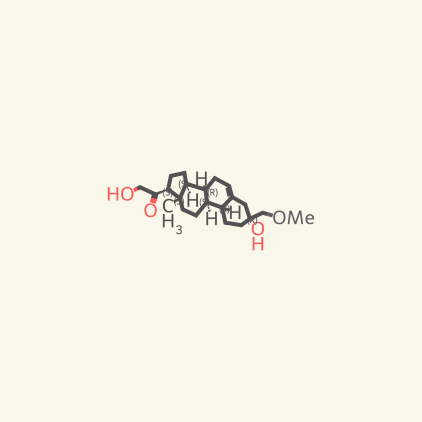 COC[C@@]1(O)CC[C@H]2C(=CC[C@@H]3[C@@H]2CC[C@]2(C)[C@@H](C(=O)CO)CC[C@@H]32)C1